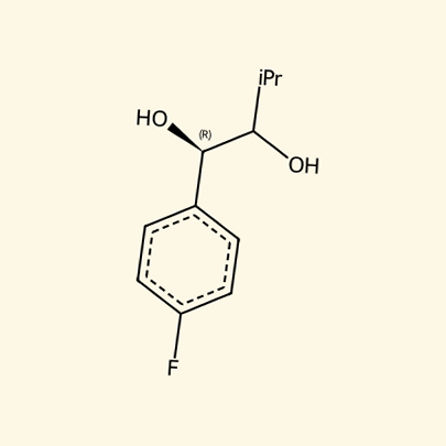 CC(C)C(O)[C@H](O)c1ccc(F)cc1